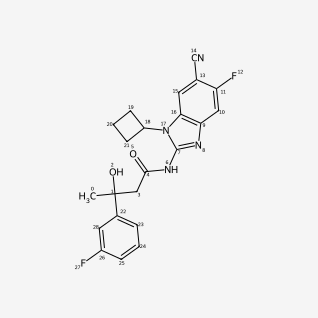 CC(O)(CC(=O)Nc1nc2cc(F)c(C#N)cc2n1C1CCC1)c1cccc(F)c1